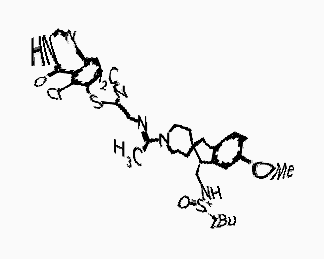 C=N/C(=C\N=C(/C)N1CCC2(CC1)Cc1ccc(OC)cc1[C@H]2CN[S@+]([O-])C(C)(C)C)Sc1ccc2nc[nH]c(=O)c2c1Cl